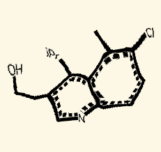 Cc1c(Cl)ccc2ncc(CO)c(C(C)C)c12